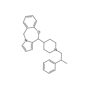 CC(CN1CCC(C2Oc3ccccc3Cn3cccc32)CC1)c1ccccc1